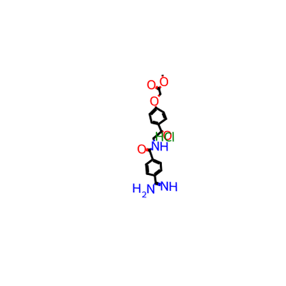 COC(=O)COc1ccc(C(=O)CNC(=O)c2ccc(C(=N)N)cc2)cc1.Cl